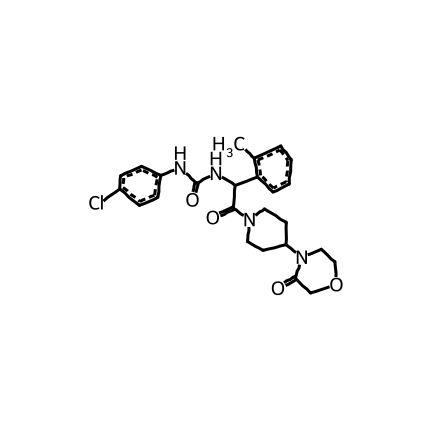 Cc1ccccc1C(NC(=O)Nc1ccc(Cl)cc1)C(=O)N1CCC(N2CCOCC2=O)CC1